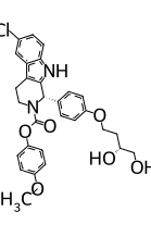 COc1ccc(OC(=O)N2CCc3c([nH]c4ccc(Cl)cc34)[C@@H]2c2ccc(OCC[C@@H](O)CO)cc2)cc1